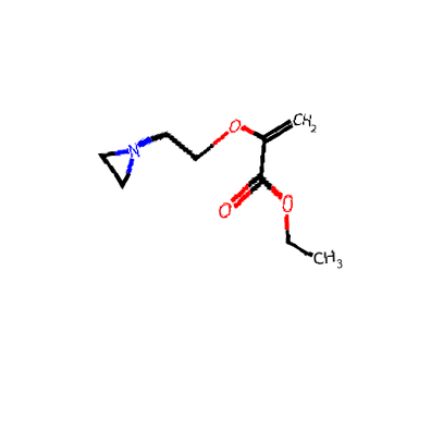 C=C(OCCN1CC1)C(=O)OCC